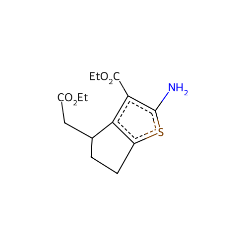 CCOC(=O)CC1CCc2sc(N)c(C(=O)OCC)c21